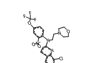 O=[N+]([O-])c1cc(OC(F)(F)F)ccc1N(CCN1CCOCC1)c1ccc2cccc(Cl)c2n1